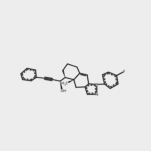 C[C@]12Cc3cnn(-c4ccc(F)cc4)c3C=C1CCC[C@@H]2[C@@H](O)C#Cc1ccccc1